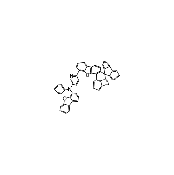 c1ccc(N(c2ccc(-c3cccc4c3oc3c5c(ccc34)C3(c4ccccc4-c4ccccc43)c3cccc4cccc-5c34)nc2)c2cccc3c2oc2ccccc23)cc1